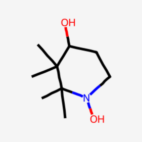 CC1(C)C(O)CCN(O)C1(C)C